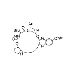 COc1ccc2nc3c(nc2c1)O[C@H]1CN(C(=O)[C@H](C(C)(C)C)NC(=O)O[C@]2(C)CCC[C@H]2CCCCC32CC2)[C@H](C(C)=O)[C@@H]1C